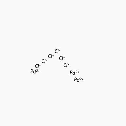 [Cl-].[Cl-].[Cl-].[Cl-].[Cl-].[Cl-].[Pd+2].[Pd+2].[Pd+2]